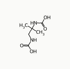 CC(C)(CNC(=O)O)NC(=O)O